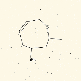 CC1CC(C(C)C)CC=CCS1